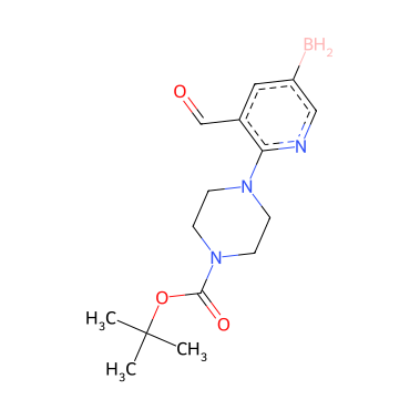 Bc1cnc(N2CCN(C(=O)OC(C)(C)C)CC2)c(C=O)c1